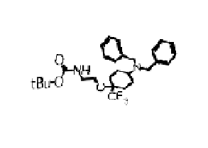 CC(C)(C)OC(=O)NCCOC1(C(F)(F)F)CCC(N(Cc2ccccc2)Cc2ccccc2)CC1